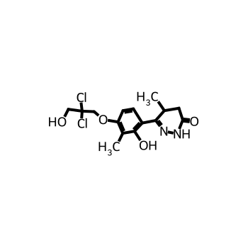 Cc1c(OCC(Cl)(Cl)CO)ccc(C2=NNC(=O)CC2C)c1O